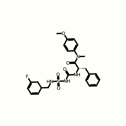 COc1ccc(N(C)C(=O)[C@H](Cc2ccccc2)NC(=O)NS(=O)(=O)NCC2C=CC=C(F)C2)cc1